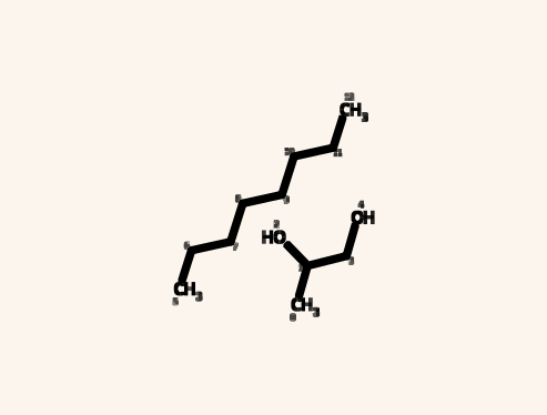 CC(O)CO.CCCCCCCC